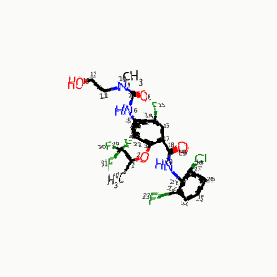 CC(Oc1cc(NC(=O)N(C)CCO)c(F)cc1C(=O)Nc1c(F)cccc1Cl)C(F)(F)F